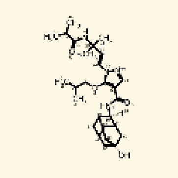 CC(C)COc1c(C(=O)N[C@H]2C3CC4CC2C[C@](O)(C4)C3)cnn1/C=C/C(C)(C)NC(=O)C(C)C